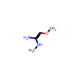 CN/C(N)=C\OC